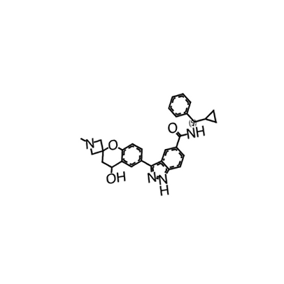 CN1CC2(CC(O)c3cc(-c4n[nH]c5ccc(C(=O)N[C@H](c6ccccc6)C6CC6)cc45)ccc3O2)C1